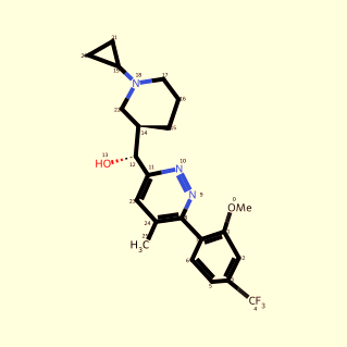 COc1cc(C(F)(F)F)ccc1-c1nnc([C@H](O)[C@@H]2CCCN(C3CC3)C2)cc1C